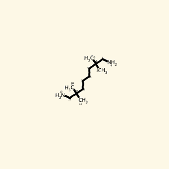 CC(C)(CN)CCCCC(C)(C)CN